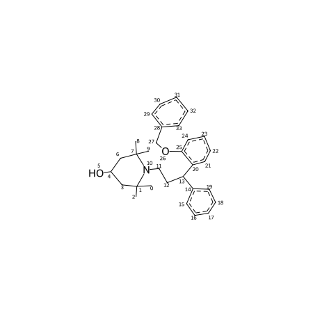 CC1(C)CC(O)CC(C)(C)N1CCC(c1ccccc1)c1ccccc1OCc1ccccc1